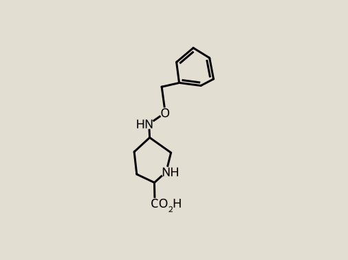 O=C(O)C1CCC(NOCc2ccccc2)CN1